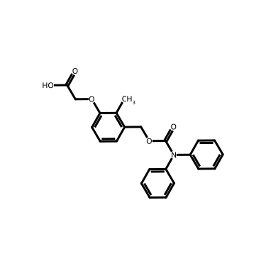 Cc1c(COC(=O)N(c2ccccc2)c2ccccc2)cccc1OCC(=O)O